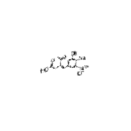 CC(=O)C(=Cc1cc(O)c(O)c([N+](=O)[O-])c1)CC(=O)O